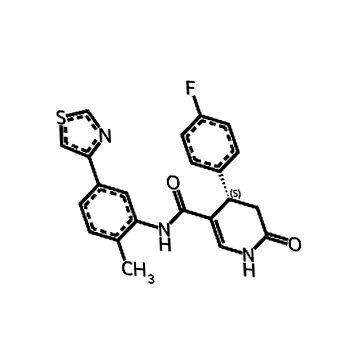 Cc1ccc(-c2cscn2)cc1NC(=O)C1=CNC(=O)C[C@H]1c1ccc(F)cc1